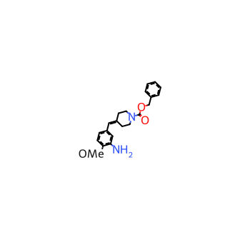 COc1ccc(C=C2CCN(C(=O)OCc3ccccc3)CC2)cc1N